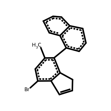 Cc1cc(Br)c2c(c1-c1cccc3ccccc13)CC=C2